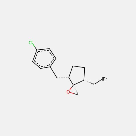 CC(C)C[C@H]1CC[C@@H](Cc2ccc(Cl)cc2)[C@@]12CO2